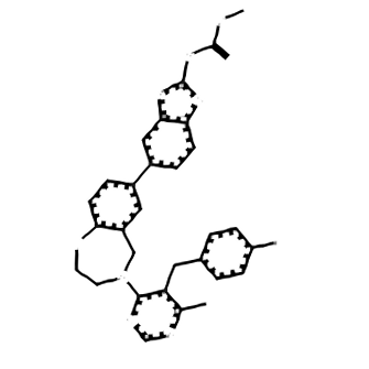 COC(=O)Nc1nc2ccc(-c3ccc4c(c3)CN(c3ncnc(C)c3Cc3ccc(F)cc3)CCO4)cc2[nH]1